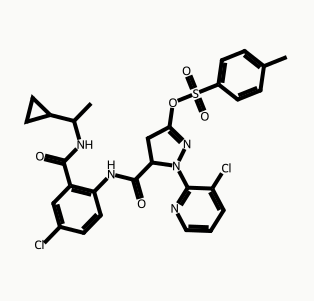 Cc1ccc(S(=O)(=O)OC2=NN(c3ncccc3Cl)C(C(=O)Nc3ccc(Cl)cc3C(=O)NC(C)C3CC3)C2)cc1